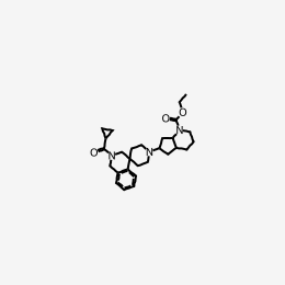 CCOC(=O)N1CCCC2CC(N3CCC4(CC3)CN(C(=O)C3CC3)Cc3ccccc34)CC21